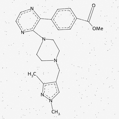 COC(=O)c1ccc(-c2nccnc2N2CCN(Cc3cn(C)nc3C)CC2)cc1